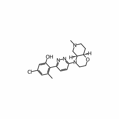 Cc1cc(Cl)cc(O)c1-c1ccc(N2CCO[C@H]3CCN(C)C[C@H]32)nn1